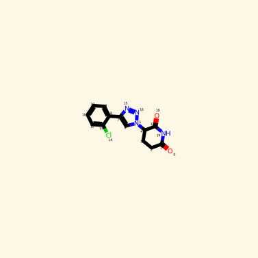 O=C1CCC(n2cc(-c3ccccc3Cl)nn2)C(=O)N1